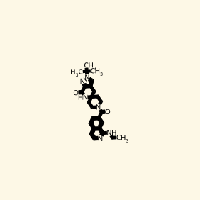 CCNc1nccc2ccc(C(=O)N3CCC4(CC3)Cc3cn(C(C)(C)C)nc3C(=O)N4)cc12